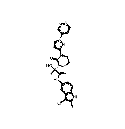 Cc1[nH]c2ccc(NC(=O)C(C)(O)[C@H]3OCCN(c4ccn(-c5ccnnc5)n4)C3=O)cc2c1Cl